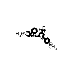 COc1ccc(-c2cc(C(F)(F)F)cc(COCC3(c4ccccc4)CCN(C)CC3)n2)cc1